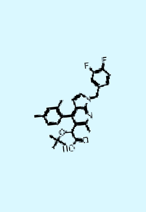 Cc1ccc(-c2c([C@H](OC(C)(C)C)C(=O)O)c(C)nc3c2ccn3Cc2ccc(F)c(F)c2)c(C)c1